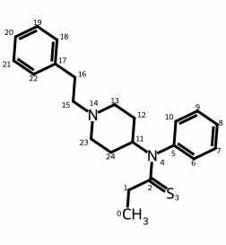 CCC(=S)N(c1ccccc1)C1CCN(CCc2ccccc2)CC1